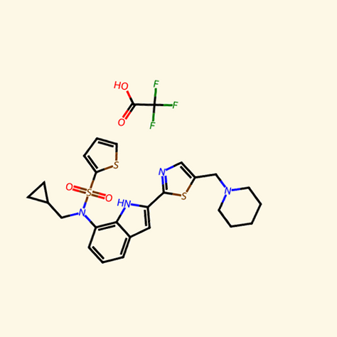 O=C(O)C(F)(F)F.O=S(=O)(c1cccs1)N(CC1CC1)c1cccc2cc(-c3ncc(CN4CCCCC4)s3)[nH]c12